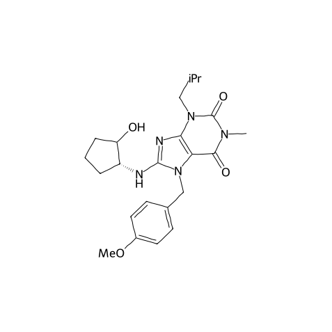 COc1ccc(Cn2c(N[C@@H]3CCCC3O)nc3c2c(=O)n(C)c(=O)n3CC(C)C)cc1